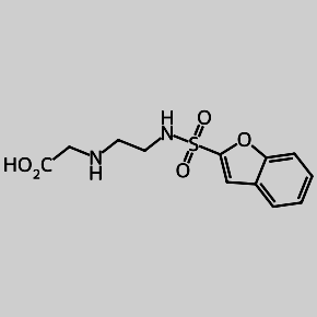 O=C(O)CNCCNS(=O)(=O)c1cc2ccccc2o1